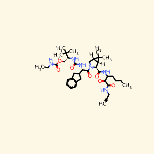 C#CCNC(=O)C(=O)C(CCCC)NC(=O)[C@@H]1[C@@H]2[C@H](CN1C(=O)[C@@H](NC(=O)N[C@H](COC(=O)NCC)C(C)(C)C)C1Cc3ccccc3C1)C2(C)C